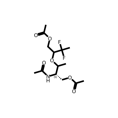 CC(=O)N[C@@H](COC(C)=O)C(C)OC(COC(C)=O)C(C)(F)F